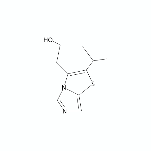 CC(C)c1sc2cncn2c1CCO